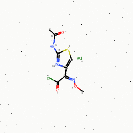 CON=C(C(=O)Cl)c1csc(NC(C)=O)n1.Cl